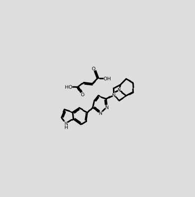 CN1C2CCCC1CN(c1ccc(-c3ccc4[nH]ccc4c3)nn1)C2.O=C(O)/C=C/C(=O)O